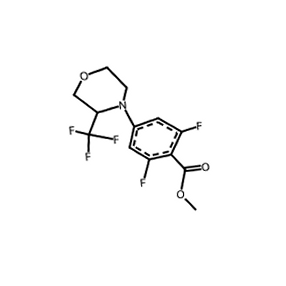 COC(=O)c1c(F)cc(N2CCOCC2C(F)(F)F)cc1F